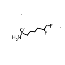 NC(=O)CCCCC(F)CF